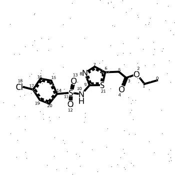 CCOC(=O)Cc1cnc(NS(=O)(=O)c2ccc(Cl)cc2)s1